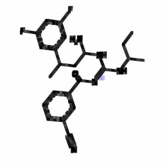 CCC(C)N/C(=N/C(=O)c1cccc(C#N)c1)NC(N)CC(C)c1cc(F)cc(F)c1